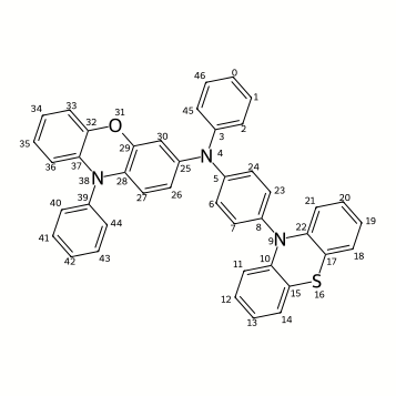 c1ccc(N(c2ccc(N3c4ccccc4Sc4ccccc43)cc2)c2ccc3c(c2)Oc2ccccc2N3c2ccccc2)cc1